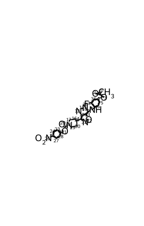 CS(=O)(=O)c1ccc(Nc2ncnc3c(C4CCN(C(=O)Oc5ccc([N+](=O)[O-])cc5)CC4)noc23)c(F)c1